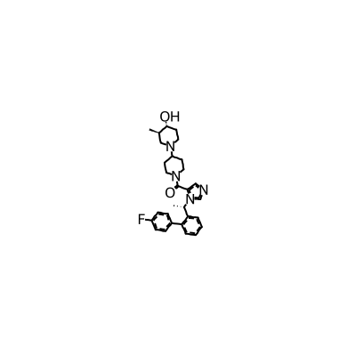 C[C@@H]1CN(C2CCN(C(=O)c3cncn3[C@@H](C)c3ccccc3-c3ccc(F)cc3)CC2)CC[C@H]1O